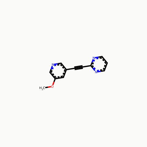 COc1cncc(C#Cc2ncccn2)c1